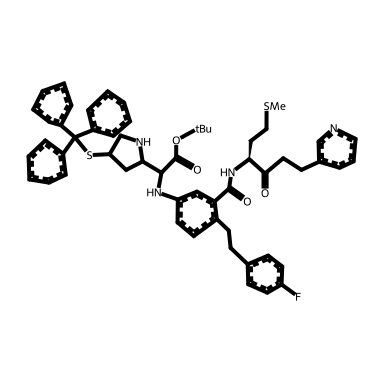 CSCC[C@H](NC(=O)c1cc(NC(C(=O)OC(C)(C)C)C2CC(SC(c3ccccc3)(c3ccccc3)c3ccccc3)CN2)ccc1CCc1ccc(F)cc1)C(=O)CCc1cccnc1